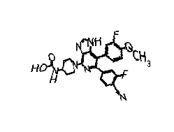 COc1ccc(-c2c(-c3ccc(C#N)c(F)c3)nc(N3CCC(NC(=O)O)CC3)c3nc[nH]c23)cc1F